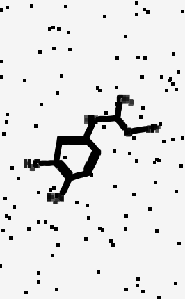 CCCOC(C)Nc1ccc(N)c(C)c1